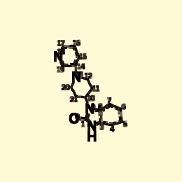 O=c1[nH]c2ccccc2n1C1CCN(c2cccnc2)CC1